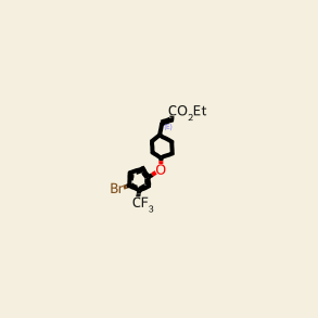 CCOC(=O)/C=C/C1CCC(Oc2ccc(Br)c(C(F)(F)F)c2)CC1